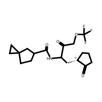 O=C(NC(C[C@@H]1CCCC1=O)C(=O)COC(F)(F)F)C1CCC2(CC2)C1